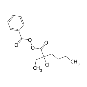 CCCCC(Cl)(CC)C(=O)OOC(=O)c1ccccc1